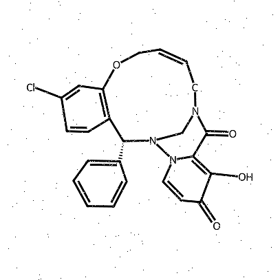 O=C1c2c(O)c(=O)ccn2N2CN1C/C=C\COc1cc(Cl)ccc1[C@H]2c1ccccc1